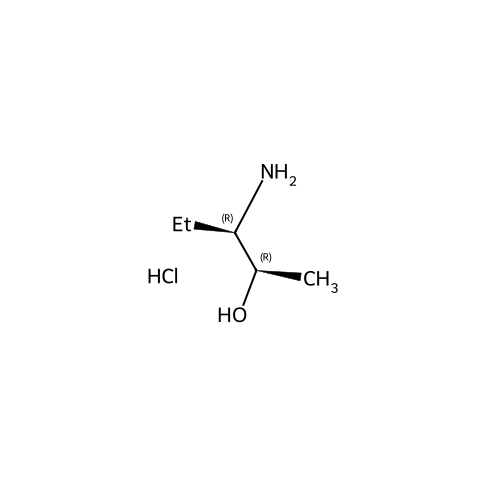 CC[C@@H](N)[C@@H](C)O.Cl